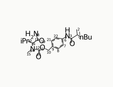 CCCCC(C)C(=O)Nc1ccc(COC(=O)N(C)[C@H](C(N)=O)C(C)C)cc1